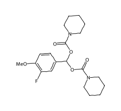 COc1ccc(C(OC(=O)N2CCCCC2)OC(=O)N2CCCCC2)cc1F